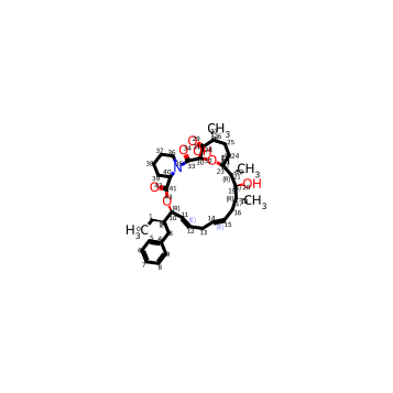 CC[C@H](Cc1ccccc1)[C@@H]1/C=C/C/C=C/C[C@@H](C)[C@H](O)[C@@H](C)[C@@H]2CC[C@@H](C)C(=O)C(O)(O2)C(=O)N2CCCCC2C(=O)O1